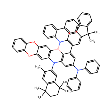 Cc1cc2c(cc1N1c3cc4c(cc3B3c5c(cc(N(c6ccccc6)c6ccccc6)cc51)-c1cc5c(cc1N3c1ccccc1-c1ccccc1)-c1ccccc1C5(C)C)Oc1ccccc1O4)C(C)(C)CCC2(C)C